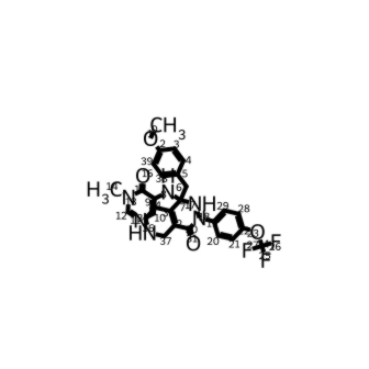 COc1ccc(CC2(Nc3cncn(C)c3=O)NN(c3ccc(OC(F)(F)F)cc3)C(=O)C3=C2CCNC3)cc1